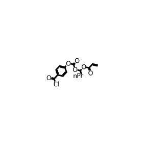 C=CC(=O)OC(CCC)OC(=O)Oc1ccc(C(=O)Cl)cc1